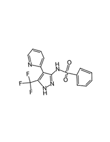 O=S(=O)(Nc1n[nH]c(C(F)(F)F)c1-c1ccccn1)c1ccccc1